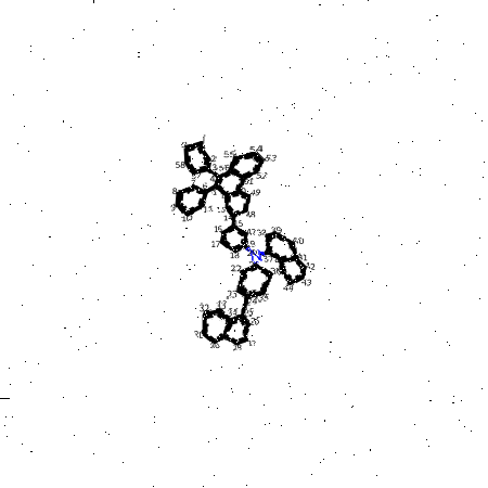 c1ccc(-c2c(-c3ccccc3)c3cc(-c4cccc(N(c5ccc(-c6cccc7ccccc67)cc5)c5cccc6ccccc56)c4)ccc3c3ccccc23)cc1